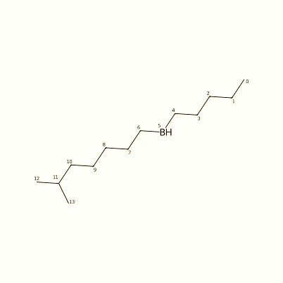 CCCCCBCCCCCC(C)C